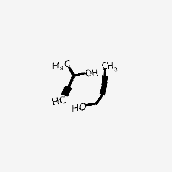 C#CC(C)O.CC#CCO